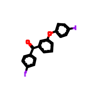 O=C(c1ccc(I)cc1)c1cccc(Oc2ccc(I)cc2)c1